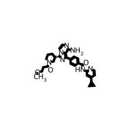 COCCC(=O)N1CCC[C@@H](c2nc(-c3ccc(C(=O)Nc4cc(C5CC5)ccn4)cc3)c3c(N)nccn23)C1